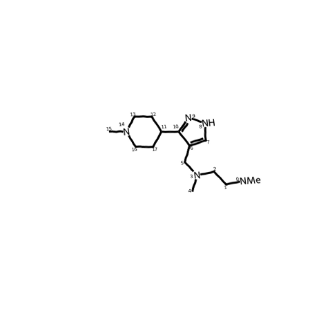 CNCCN(C)Cc1c[nH]nc1C1CCN(C)CC1